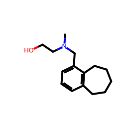 CN(CCO)Cc1cccc2c1CCCCC2